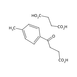 Cc1ccc(C(=O)CCC(=O)O)cc1.O=C(O)CCC(=O)O